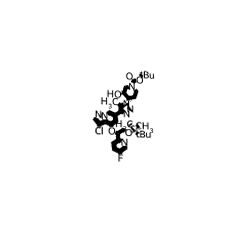 Cc1c(-c2cc(OC(CO[Si](C)(C)C(C)(C)C)c3ccc(F)cn3)c3c(Cl)cnn3c2)nnn1[C@@H]1CCN(C(=O)OC(C)(C)C)C[C@H]1O